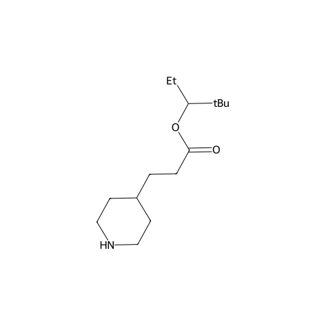 CCC(OC(=O)CCC1CCNCC1)C(C)(C)C